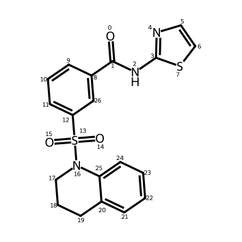 O=C(Nc1nccs1)c1cccc(S(=O)(=O)N2CCCc3ccccc32)c1